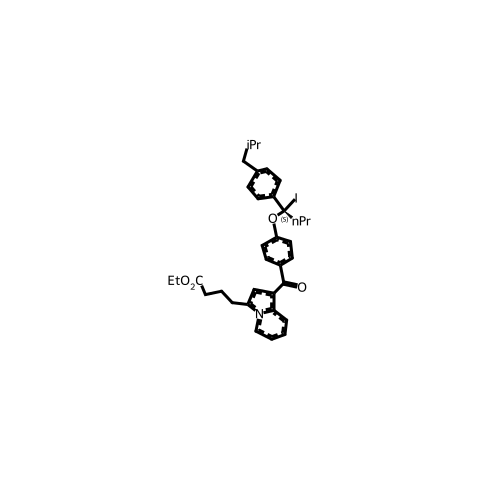 CCC[C@@](I)(Oc1ccc(C(=O)c2cc(CCCC(=O)OCC)n3ccccc23)cc1)c1ccc(CC(C)C)cc1